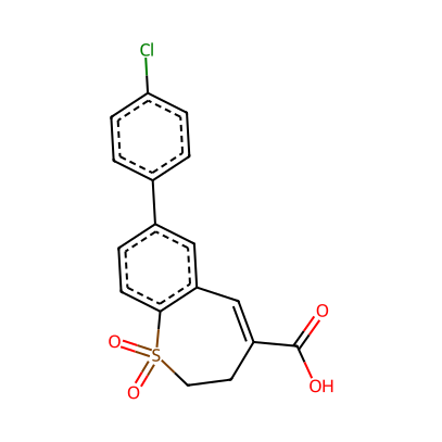 O=C(O)C1=Cc2cc(-c3ccc(Cl)cc3)ccc2S(=O)(=O)CC1